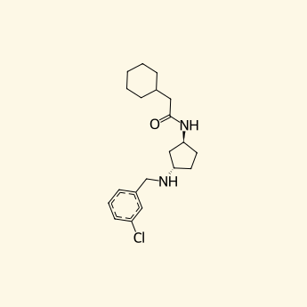 O=C(CC1CCCCC1)N[C@H]1CC[C@H](NCc2cccc(Cl)c2)C1